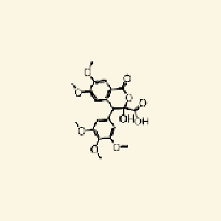 COc1cc2c(cc1OC)C(c1cc(OC)c(OC)c(OC)c1)C(O)(C(=O)O)OC2=O